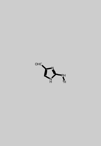 [3H]Pc1nc(C=O)c[nH]1